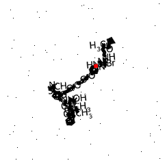 Cc1ncsc1-c1ccc(CNC(=O)[C@@H]2C[C@@H](O)CN2C(=O)[C@H](C(C)C)N2Cc3ccccc3C2=O)c(OCCOCCOCCOCCOc2ccc(Nc3ncc(Br)c(NCCCN(C)C(=O)C4CCC4)n3)cc2)c1